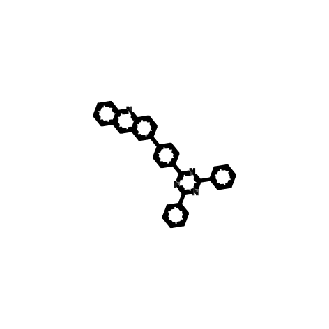 c1ccc(-c2nc(-c3ccccc3)nc(-c3ccc(-c4ccc5nc6ccccc6cc5c4)cc3)n2)cc1